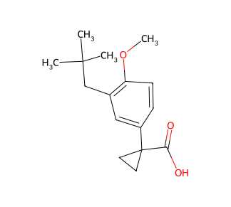 COc1ccc(C2(C(=O)O)CC2)cc1CC(C)(C)C